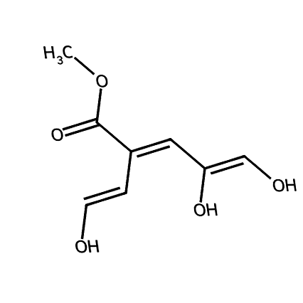 COC(=O)C(/C=C/O)=C/C(O)=C/O